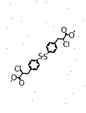 COC(=O)C(Cl)Cc1ccc(SSc2ccc(CC(Cl)C(=O)OC)cc2)cc1